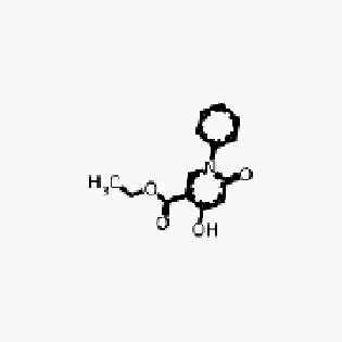 CCOC(=O)c1cn(-c2ccccc2)c(=O)cc1O